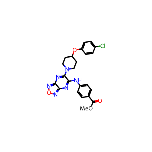 COC(=O)c1ccc(Nc2nc3nonc3nc2N2CCC(Oc3ccc(Cl)cc3)CC2)cc1